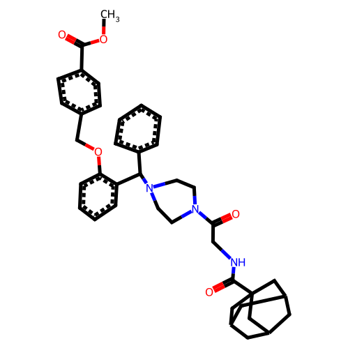 COC(=O)c1ccc(COc2ccccc2C(c2ccccc2)N2CCN(C(=O)CNC(=O)C34CC5CC(CC(C5)C3)C4)CC2)cc1